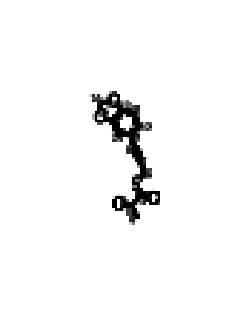 CC(=O)C(=O)SCC#Cc1ccc2c(c1)OCO2